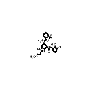 COCCc1nc2c(C(=O)Nc3cccc(Cl)c3C)cc(N(N)C(=O)c3ccccc3C(F)(F)F)cc2[nH]1